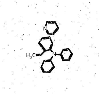 C=Cc1ccccc1N(c1ccccc1)c1ccccc1.c1ccncc1